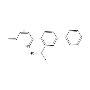 C=C/C=C\C(=N)c1ccc(-c2ccccc2)cc1C(C)O